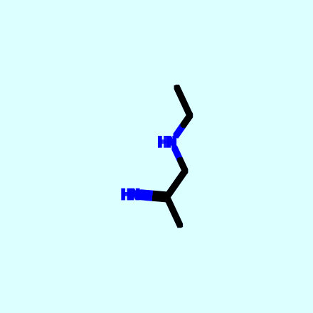 CCNCC(C)=N